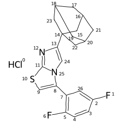 Cl.Fc1ccc(F)c(-c2csc3nc(C45CC6CC(CC(C6)C4)C5)cn23)c1